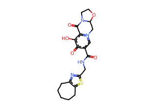 O=C(NCc1nc2c(s1)CCCCC2)c1cn2c(c(O)c1=O)C(=O)N1CCOC1C2